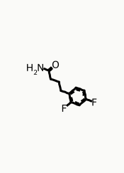 NC(=O)CCCc1ccc(F)cc1F